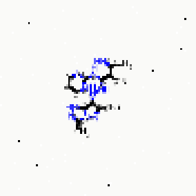 CC(=N)/C(C#N)=C(/NNc1c(C(C)(C)C)nn2c(C)n[nH]c12)Nc1ncccn1